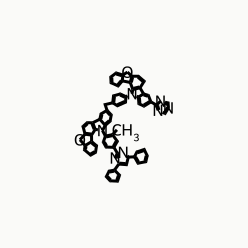 Cc1cc(-c2nc(-c3ccccc3)cc(-c3ccccc3)n2)ccc1-n1c2ccc(Cc3ccc(-n4c5ccc(-c6ncncn6)cc5c5ccc6oc7ccccc7c6c54)cc3)cc2c2ccc3oc4ccccc4c3c21